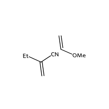 C=C(C#N)CC.C=COC